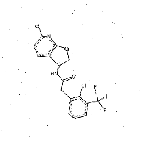 O=C(Cc1cccc(C(F)(F)F)c1Cl)NC1COc2nc(Cl)ccc21